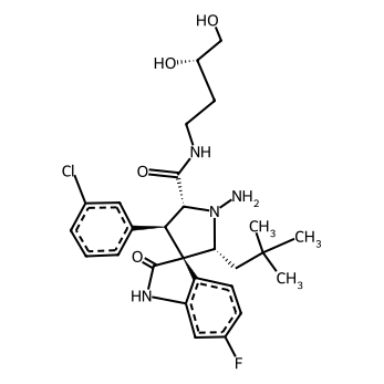 CC(C)(C)C[C@H]1N(N)[C@@H](C(=O)NCC[C@H](O)CO)[C@H](c2cccc(Cl)c2)[C@@]12C(=O)Nc1cc(F)ccc12